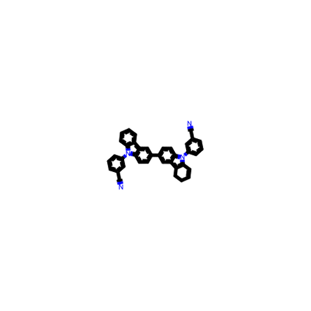 N#Cc1cccc(-n2c3c(c4cc(-c5ccc6c(c5)c5ccccc5n6-c5cccc(C#N)c5)ccc42)CCC=C3)c1